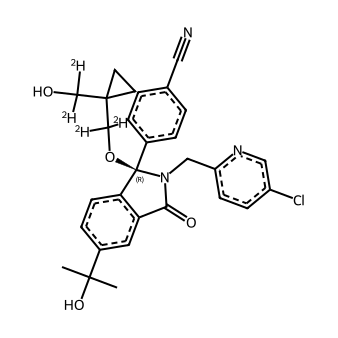 [2H]C([2H])(O)C1(C([2H])([2H])O[C@]2(c3ccc(C#N)cc3)c3ccc(C(C)(C)O)cc3C(=O)N2Cc2ccc(Cl)cn2)CC1